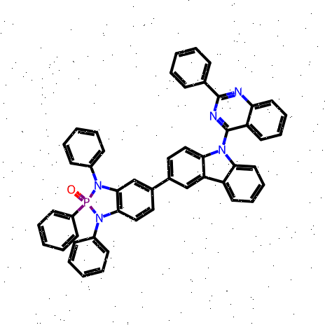 O=P1(c2ccccc2)N(c2ccccc2)c2ccc(-c3ccc4c(c3)c3ccccc3n4-c3nc(-c4ccccc4)nc4ccccc34)cc2N1c1ccccc1